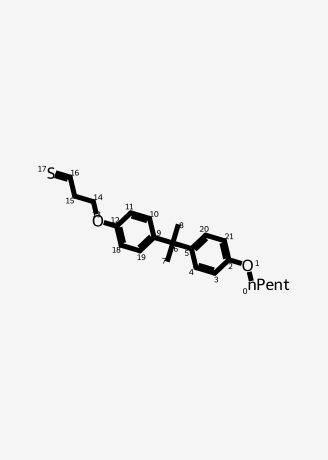 CCCCCOc1ccc(C(C)(C)c2ccc(OCCC=S)cc2)cc1